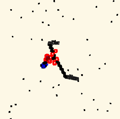 CCCCCCCCC/C=C\CCCCCCCC(=O)O[C@H](COC(=O)CCCCCCCCCCCCCCC)COP(=O)([O-])OCC[N+](C)(C)C